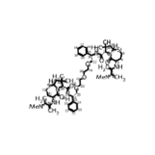 C=C(N[C@H]1CCS[C@H]2CC(C)(C)[C@@H](C(=O)N[C@H](COCCOCCOC[C@@H](NC(=O)[C@H]3N4C(=O)[C@@H](NC(=C)[C@H](C)NC)CCS[C@H]4CC3(C)C)c3ccccc3)c3ccccc3)N2C1=O)[C@H](C)NC